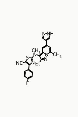 CCc1nn2c(C)cc(-c3cn[nH]c3)cc2c1N(C)c1nc(-c2ccc(F)cc2)c(C#N)s1